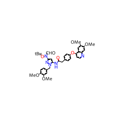 COc1ccc(Cn2nc(N(C=O)OC(C)(C)C)cc2NC(=O)Cc2ccc(Oc3ccnc4cc(OC)c(OC)cc34)cc2)cc1OC